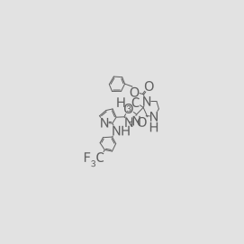 CC1(c2nnc(-c3cccnc3Nc3ccc(C(F)(F)F)cc3)o2)C(=O)NCCN1C(=O)OCc1ccccc1